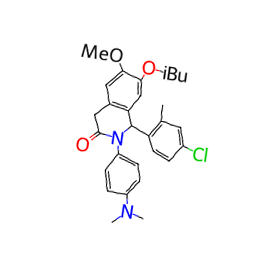 CCC(C)Oc1cc2c(cc1OC)CC(=O)N(c1ccc(N(C)C)cc1)C2c1ccc(Cl)cc1C